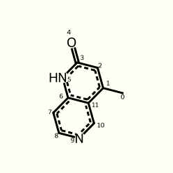 Cc1cc(=O)[nH]c2ccncc12